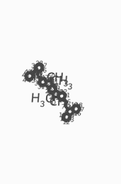 CC1(C)c2cc(CCC3c4ccccc4-c4ccccc43)ccc2-c2cc3c(cc21)-c1ccc(-n2c4ccccc4c4ccccc42)cc1C3(C)C